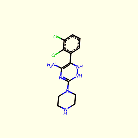 NC1=C(c2cccc(Cl)c2Cl)NNC(N2CCNCC2)=N1